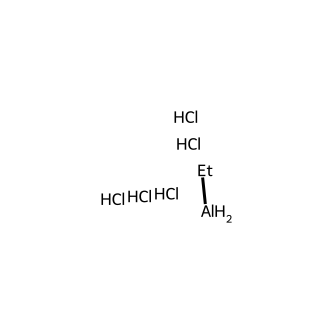 C[CH2][AlH2].Cl.Cl.Cl.Cl.Cl